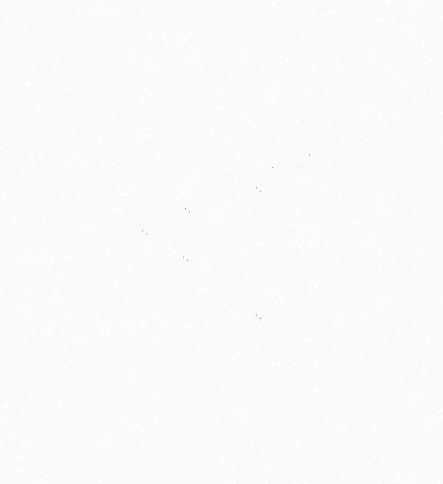 C[C@@H]1COCCN1c1nc2c(c(-c3c[nH]c4ccccc34)n1)CCN(C(=O)C13CC4CC(CC(C4)C1)C3)C2